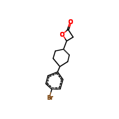 O=C1CC(C2CCC(c3ccc(Br)cc3)CC2)O1